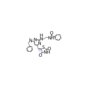 CN(Cc1ccccc1)c1cc(/C=C2\SC(=O)NC2=O)nc(NCCNC(=O)c2ccccc2)n1